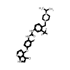 CC(C)N1CCN(Cc2ccc(NC(=O)Nc3ccc(Oc4ccnc5[nH]cc(Cl)c45)cc3F)cc2C(F)(F)F)CC1